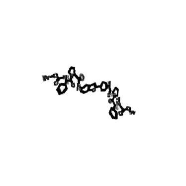 CC(C)OC(=O)N[C@@H](C(=O)N1CCCC1C(=O)Nc1ccc2oc(-c3ccc(NC(=O)[C@@H]4CCCN4C(=O)[C@H](NC(=O)OC(C)C)c4ccccc4)cc3)cc2c1)c1ccccc1